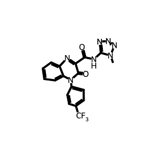 Cn1nnnc1NC(=O)c1nc2ccccc2n(-c2ccc(C(F)(F)F)cc2)c1=O